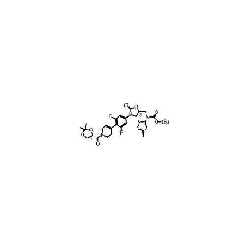 Cc1cc(N(C[C@H]2CN(c3cc(F)c(C4=CCN(C(=O)[C@@H]5COC(C)(C)O5)CC4)c(F)c3)C(=O)O2)C(=O)OC(C)(C)C)sn1